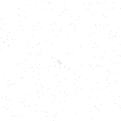 C=C.Cl.Cl